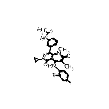 CC(=O)Nc1cccc(-c2nn(C3CC3)c(=O)c3c(Nc4ccc(I)cc4F)c(C)c(=O)n(C)c23)c1